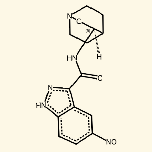 O=Nc1ccc2[nH]nc(C(=O)N[C@H]3CN4CCC3CC4)c2c1